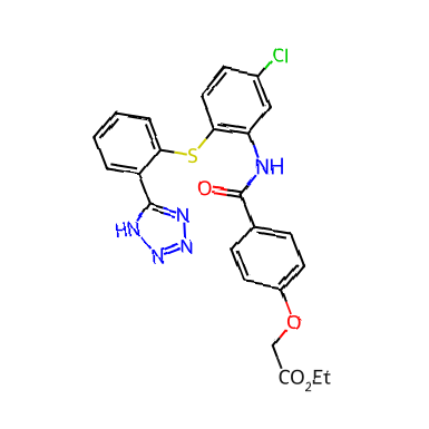 CCOC(=O)COc1ccc(C(=O)Nc2cc(Cl)ccc2Sc2ccccc2-c2nnn[nH]2)cc1